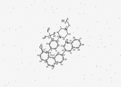 CCN1CCN(c2ccc(-n3c(=O)ccc4cnc5ccc(-c6cnc7ccccc7c6)cc5c43)cc2C(F)(F)F)CC1